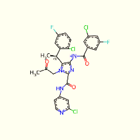 CC(=O)Cn1c(C(=O)Nc2ccnc(Cl)c2)nc(NC(=O)c2cc(F)cc(Cl)c2)c1[C@@H](C)c1cc(F)ccc1Cl